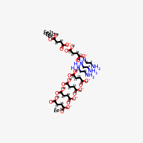 NCCN.NCCN.NCCN.O=C([O-])CCC(=O)[O-].O=C([O-])CCC(=O)[O-].O=C([O-])CCC(=O)[O-].O=C([O-])CCC(=O)[O-].O=C([O-])CCC(=O)[O-].O=C([O-])CCC(=O)[O-].[Fe+3].[Fe+3].[Fe+3].[Fe+3]